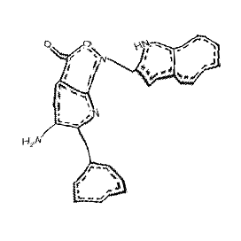 Nc1cc2c(=O)on(-c3cc4ccccc4[nH]3)c2nc1-c1ccccc1